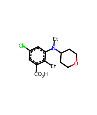 CCc1c(C(=O)O)cc(Cl)cc1N(CC)C1CCOCC1